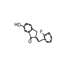 O=C1/C(=C/c2ccccc2F)Cc2ccc(O)cc21